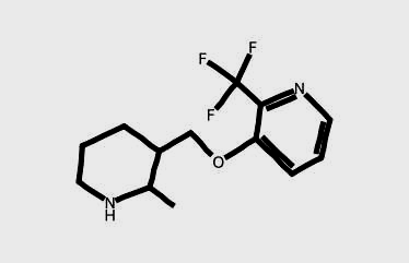 CC1NCCCC1COc1cccnc1C(F)(F)F